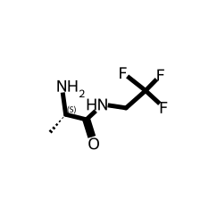 C[C@H](N)C(=O)NCC(F)(F)F